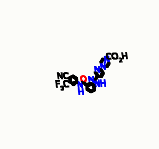 N#Cc1ccc(NC(=O)c2cccc3[nH]c(-c4ccc(N5CCN(C(=O)O)CC5)nc4)nc23)cc1C(F)(F)F